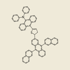 C1=C(c2c3ccccc3c(N(c3ccccc3)c3ccccc3)c3ccccc23)SC(c2ccc3c(-c4ccc5ccccc5c4)c4ccccc4c(-c4ccc5ccccc5c4)c3c2)C1